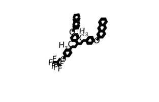 CC(CC(CC(C)c1ccc(Oc2ccc3cc4ccccc4cc3c2)cc1)c1ccc(OC2CC3CC2C2C4CCC(C4)C32)cc1)c1ccc(OCC(C(F)(F)F)C(F)(F)F)cc1